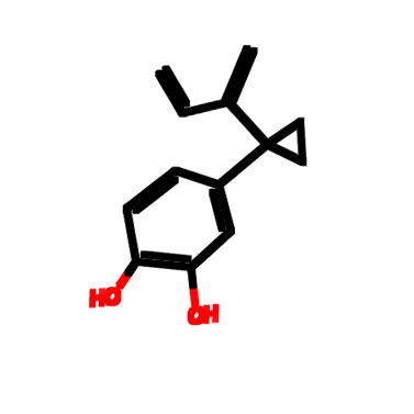 C=CC(=C)C1(c2ccc(O)c(O)c2)CC1